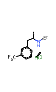 C=C.CCNC(C)Cc1cccc(C(F)(F)F)c1.Cl